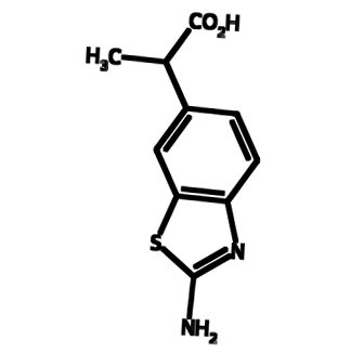 CC(C(=O)O)c1ccc2nc(N)sc2c1